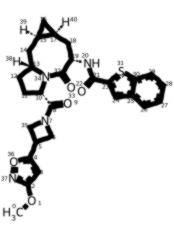 COc1cc(C2CN(C(=O)[C@@H]3CC[C@@H]4C[C@H]5C[C@H]5C[C@H](NC(=O)c5cc6ccccc6s5)C(=O)N43)C2)on1